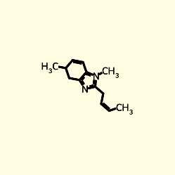 C/C=C\Cc1nc2c(n1C)C=CC(C)C2